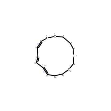 C1=C\CCCCCCCCCC/C=C/C=C/1